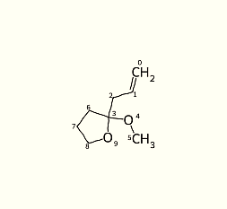 C=CCC1(OC)CCCO1